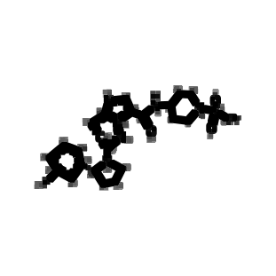 CC(C)S(=O)(=O)N1CCC(NC(=O)c2cnc3ccc(N4CCC[C@@H]4c4cccc(F)c4)nn23)CC1